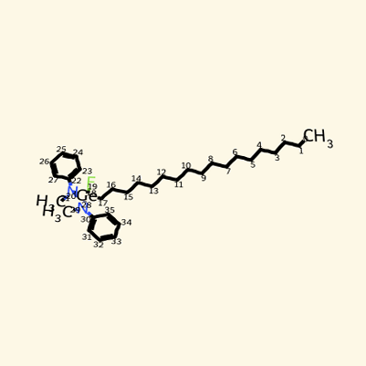 CCCCCCCCCCCCCCCCC[CH2][Ge]([F])([N](C)c1ccccc1)[N](C)c1ccccc1